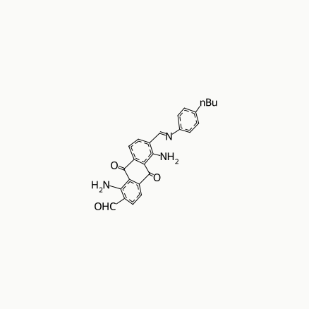 CCCCc1ccc(N=Cc2ccc3c(c2N)C(=O)c2ccc(C=O)c(N)c2C3=O)cc1